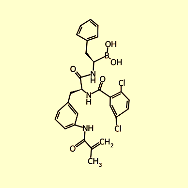 C=C(C)C(=O)Nc1cccc(C[C@H](NC(=O)c2cc(Cl)ccc2Cl)C(=O)N[C@@H](Cc2ccccc2)B(O)O)c1